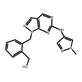 Cn1cc(Nc2ncc3cnn(Cc4ccccc4CO)c3n2)cn1